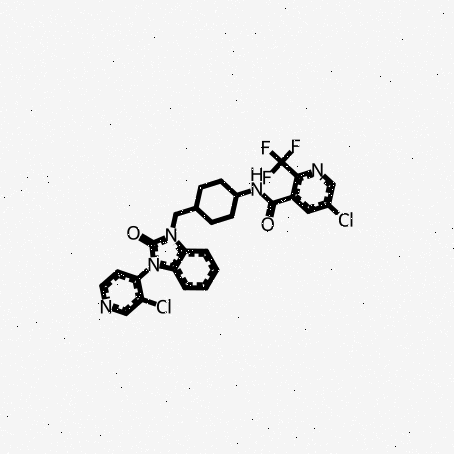 O=C(NC1CCC(Cn2c(=O)n(-c3ccncc3Cl)c3ccccc32)CC1)c1cc(Cl)cnc1C(F)(F)F